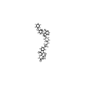 Nc1ncnc2c1c(-c1ccc(Oc3ccccc3)cc1)nn2C1CCN(CC2CN(c3ccc4c(c3)C(=O)N(C3CCC(=O)NC3=O)C4=O)C2)CC1